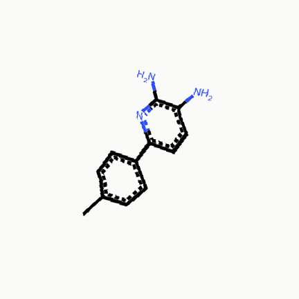 Cc1ccc(-c2ccc(N)c(N)n2)cc1